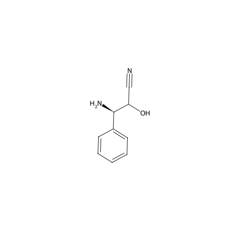 N#CC(O)[C@H](N)c1ccccc1